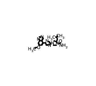 CCOc1cc(-c2cnc(N3CCN(C(N)=O)C(CC(C)C)C3)cn2)c2cncnc2c1